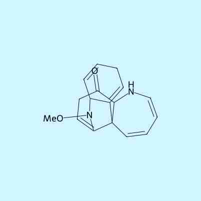 CON1C2=CCC(=O)C3NC=CC=CC23C2=CCC=CC21